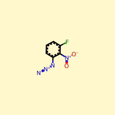 [N-]=[N+]=Nc1cccc(F)c1[N+](=O)[O-]